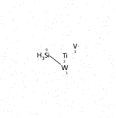 [SiH3][W].[Ti].[V]